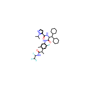 Cc1cc(NC(=O)C(NC(=O)c2ccnn2C(C)C)C(C2CCCCC2)C2CCCCC2)c(F)cc1C(C)C(=O)NC(F)C(F)F